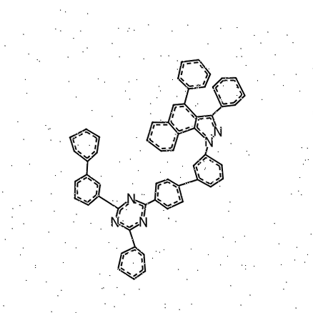 c1ccc(-c2cccc(-c3nc(-c4ccccc4)nc(-c4ccc(-c5cccc(-n6nc(-c7ccccc7)c7c(-c8ccccc8)cc8ccccc8c76)c5)cc4)n3)c2)cc1